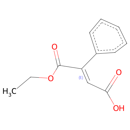 CCOC(=O)/C(=C/C(=O)O)c1ccccc1